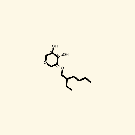 CCCCC(CC)CO[C@@H]1COC[C@@H](O)[C@@H]1O